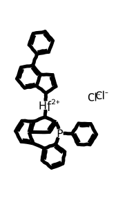 C1=C[CH]([Hf+2][CH]2C3=Cc4c(cccc42)-c2ccccc2P3c2ccccc2)c2cccc(-c3ccccc3)c21.[Cl-].[Cl-]